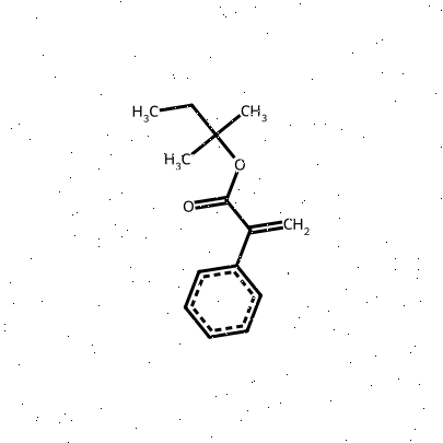 C=C(C(=O)OC(C)(C)CC)c1ccccc1